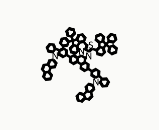 c1ccc(C2(c3ccccc3)c3ccccc3-c3c(-c4sc(-c5cccc6c5-c5ccccc5C6(c5ccccc5)c5ccccc5)c5nc6c7cc(-c8ccc9c%10ccccc%10n(-c%10ccc%11c(ccc%12ccccc%12%11)c%10)c9c8)ccc7c7ccc(-c8ccc9c%10ccccc%10n(-c%10ccc%11c(ccc%12ccccc%12%11)c%10)c9c8)cc7c6nc45)cccc32)cc1